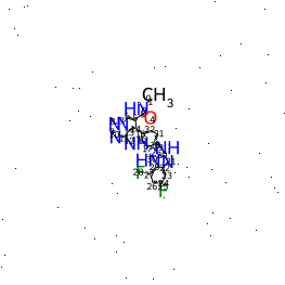 CCNC(=O)c1cn2ncnc(N)c2c1-c1ccc(Nc2nc3cc(F)cc(F)c3[nH]2)cc1